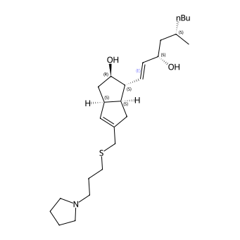 CCCC[C@H](C)C[C@H](O)/C=C/[C@@H]1[C@H]2CC(CSCCCN3CCCC3)=C[C@H]2C[C@H]1O